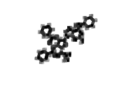 CCNC(=O)C1OC(n2cnc3c(NC4CCCCC4)nc(I)nc32)C(OC(=O)c2ccccc2)C1OC(=O)c1ccccc1